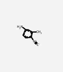 [C-]#[N+]c1ccc(N)cc1C